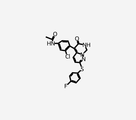 CC(=O)Nc1ccc(C2=C3C=CC(Sc4ccc(F)cc4)=NN3CNC2=O)c(Cl)c1